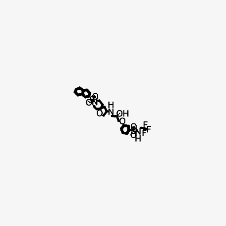 O=S(=O)(NCC(F)(F)F)c1cccc(OC[C@@H](O)CNC2COC3(CCN(S(=O)(=O)c4ccc5ccccc5c4)CC3)C2)c1